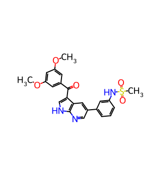 COc1cc(OC)cc(C(=O)c2c[nH]c3ncc(-c4cccc(NS(C)(=O)=O)c4)cc23)c1